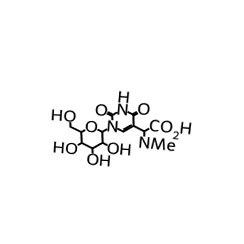 CNC(C(=O)O)c1cn(C2OC(CO)C(O)C(O)C2O)c(=O)[nH]c1=O